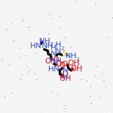 N=C(N)NCCCC(NC(=O)C(N)CSN)C(=O)NCC(=O)NC(CC(=O)O)C(=O)NC(CO)C(=O)O